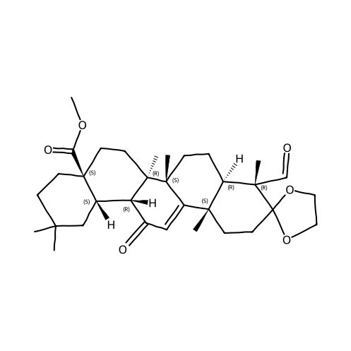 COC(=O)[C@]12CCC(C)(C)C[C@H]1[C@H]1C(=O)C=C3[C@@]4(C)CCC5(OCCO5)[C@@](C)(C=O)[C@@H]4CC[C@@]3(C)[C@]1(C)CC2